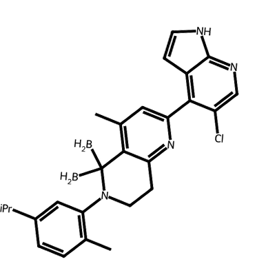 BC1(B)c2c(C)cc(-c3c(Cl)cnc4[nH]ccc34)nc2CCN1c1cc(C(C)C)ccc1C